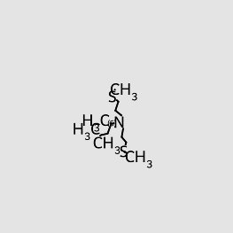 CSCCCN(CCCSC)[C@@H](C)CC(C)C